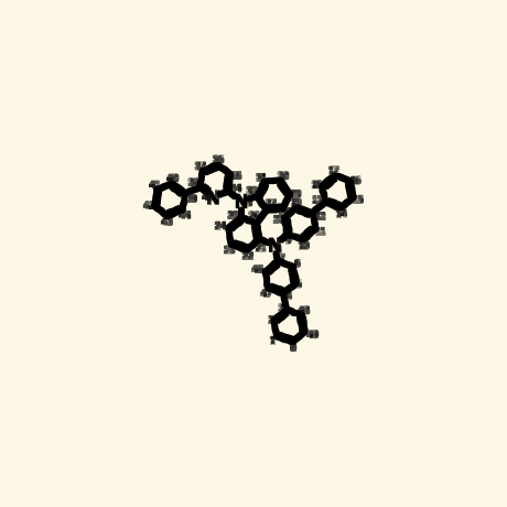 c1ccc(-c2ccc(N(c3ccc(-c4ccccc4)cc3)c3cccc4c3c3ccccc3n4-c3cccc(-c4ccccc4)n3)cc2)cc1